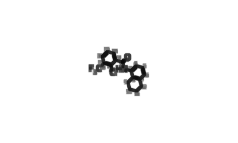 O=C(Nc1cccc2c1CCCC2)c1cccc(C(F)(F)F)c1Cl